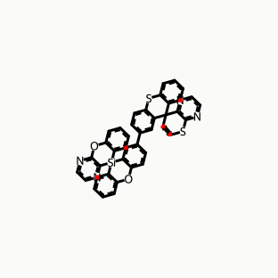 c1ccc2c(c1)Oc1ccc(-c3ccc4c(c3)C3(c5ccccc5S4)c4ccccc4Sc4nccnc43)cc1[Si]21c2ccccc2Oc2nccnc21